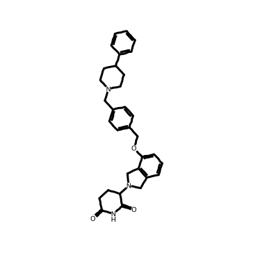 O=C1CCC(N2Cc3cccc(OCc4ccc(CN5CCC(c6ccccc6)CC5)cc4)c3C2)C(=O)N1